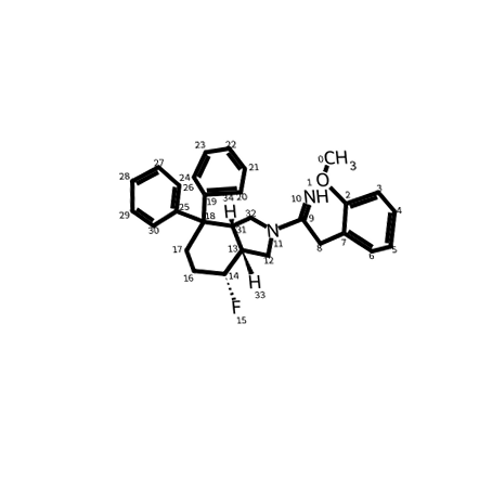 COc1ccccc1CC(=N)N1C[C@@H]2[C@H](F)CCC(c3ccccc3)(c3ccccc3)[C@@H]2C1